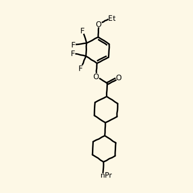 CCCC1CCC(C2CCC(C(=O)OC3=CC=C(OCC)C(F)(F)C3(F)F)CC2)CC1